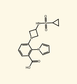 O=C(O)c1cccc(N2CC(NS(=O)(=O)C3CC3)C2)c1-n1cccc1